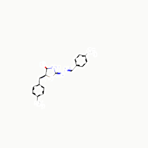 O=C1N/C(=N\N=C\c2ccc(C(F)(F)F)cc2)S/C1=C\c1ccc(C(F)(F)F)cc1